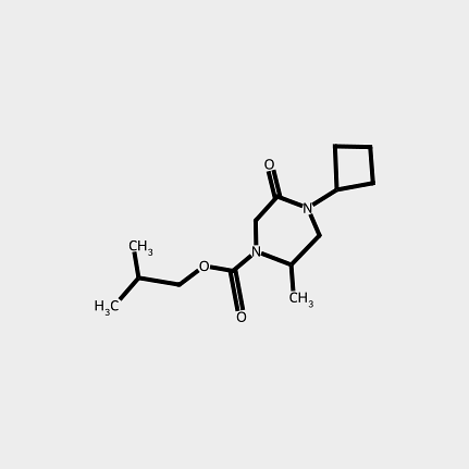 CC(C)COC(=O)N1CC(=O)N(C2CCC2)CC1C